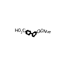 COCOc1cccc(-c2ccc(C(=O)O)cc2)c1